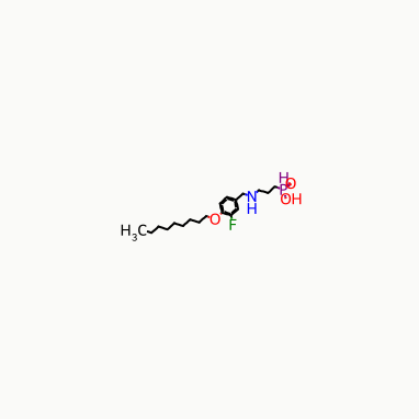 CCCCCCCCCOc1ccc(CNCCC[PH](=O)O)cc1F